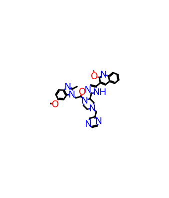 COc1ccc2nc(C)n(CC(=O)N3CCN(Cc4cnccn4)CC3c3ncc(-c4cc5ccccc5nc4OC)[nH]3)c2c1